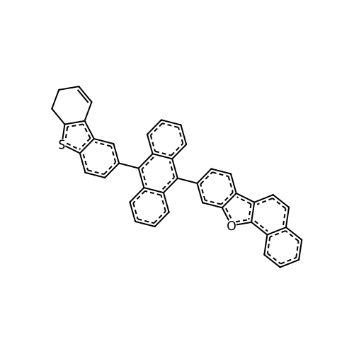 C1=Cc2c(sc3ccc(-c4c5ccccc5c(-c5ccc6c(c5)oc5c7ccccc7ccc65)c5ccccc45)cc23)CC1